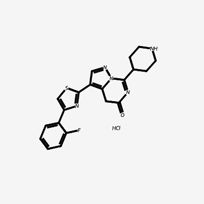 Cl.O=C1Cc2c(-c3nc(-c4ccccc4F)cs3)cnn2C(C2CCNCC2)=N1